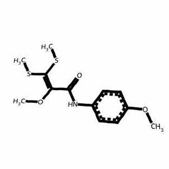 COC(C(=O)Nc1ccc(OC)cc1)=C(SC)SC